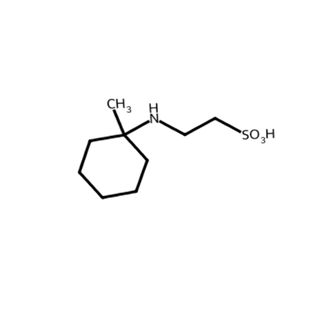 CC1(NCCS(=O)(=O)O)CCCCC1